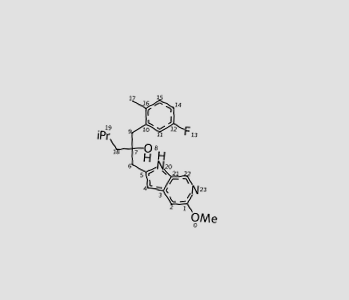 COc1cc2cc(CC(O)(Cc3cc(F)ccc3C)CC(C)C)[nH]c2cn1